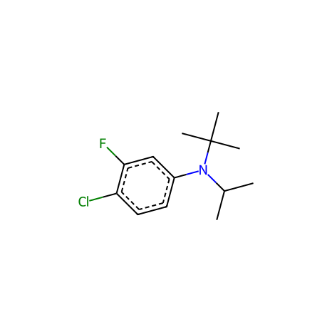 CC(C)N(c1ccc(Cl)c(F)c1)C(C)(C)C